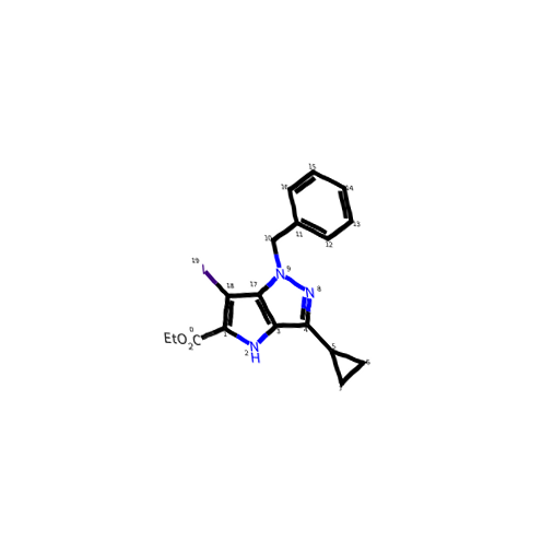 CCOC(=O)c1[nH]c2c(C3CC3)nn(Cc3ccccc3)c2c1I